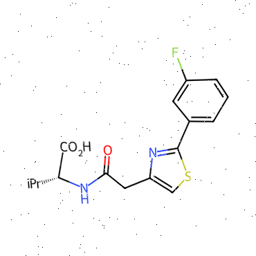 CC(C)[C@@H](NC(=O)Cc1csc(-c2cccc(F)c2)n1)C(=O)O